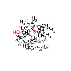 CC(C)(C)[Si](C)(C)O[Si](C)(C)C(C)(C)C.C[C@]12CC[C@H]3[C@@H](CCC4=CC(=O)CC[C@@]43C)[C@@H]1CC[C@@H]2O